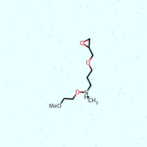 COCCO[SiH](C)CCCOCC1CO1